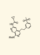 CNc1ncc(CCc2cccc(S(C)(=O)=O)c2)c2cc(NC(=O)C3CC3)ncc12